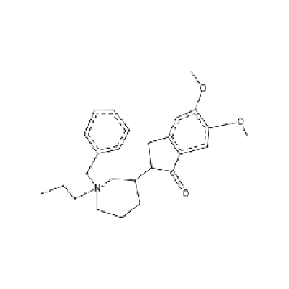 CCC[N+]1(Cc2ccccc2)CCCC(C2Cc3cc(OC)c(OC)cc3C2=O)C1